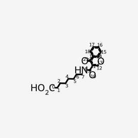 O=C(O)CCCCCCCNC(=O)c1coc2ccccc2c1=O